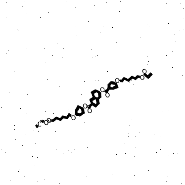 C=C=COOCCCCCCOc1ccc(OC(=O)c2ccc3cc(OC(=O)c4ccc(OCCCCCCOC(=O)C=C)cc4)ccc3c2)cc1